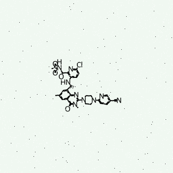 Cc1cc([C@@H](C)Nc2ccc(Cl)nc2C(=O)NS(C)(=O)=O)c2nc(N3CCN(c4ccc(C#N)cn4)CC3)n(C)c(=O)c2c1